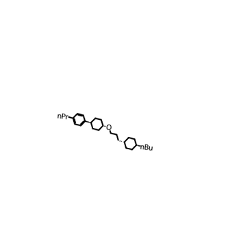 CCCC[C@H]1CC[C@H](CCCO[C@H]2CC[C@H](c3ccc(CCC)cc3)CC2)CC1